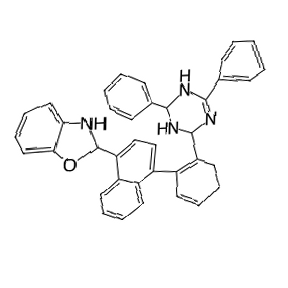 C1=CC(c2ccc(C3Nc4ccccc4O3)c3ccccc23)=C(C2N=C(c3ccccc3)NC(c3ccccc3)N2)CC1